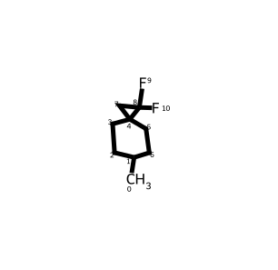 CC1CCC2(CC1)CC2(F)F